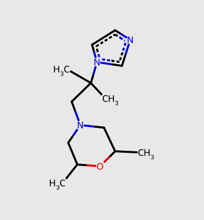 CC1CN(CC(C)(C)n2ccnc2)CC(C)O1